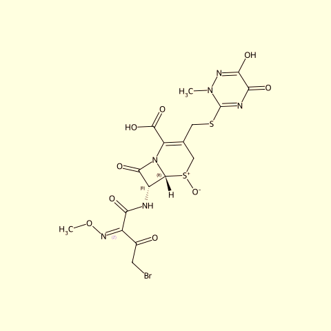 CO/N=C(/C(=O)CBr)C(=O)N[C@@H]1C(=O)N2C(C(=O)O)=C(CSc3nc(=O)c(O)nn3C)C[S+]([O-])[C@H]12